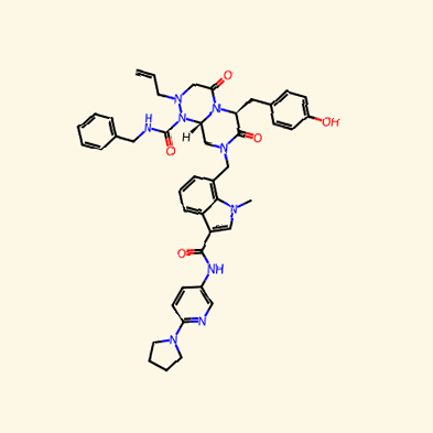 C=CCN1CC(=O)N2[C@@H](Cc3ccc(O)cc3)C(=O)N(Cc3cccc4c(C(=O)Nc5ccc(N6CCCC6)nc5)cn(C)c34)C[C@@H]2N1C(=O)NCc1ccccc1